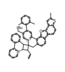 C=CC1C2C(c3ccccc3-c3cccc[n+]32)C12Cc1ccc3c(oc4c5cc(C)sc5ccc34)c1-c1cc(-c3c(C)cccc3C)c(CC(C)(C)C)c[n+]12